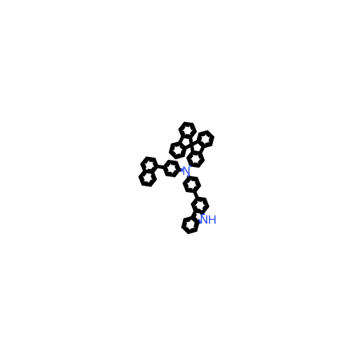 c1ccc2c(c1)-c1ccccc1C21c2ccccc2-c2ccc(N(c3ccc(-c4ccc5[nH]c6ccccc6c5c4)cc3)c3ccc(-c4cccc5ccccc45)cc3)cc21